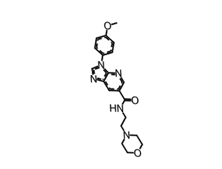 COc1ccc(-n2cnc3cc(C(=O)NCCN4CCOCC4)cnc32)cc1